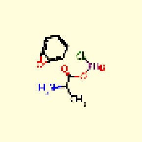 CC(N)C(=O)O[PH](=O)Cl.c1ccc2c(c1)O2